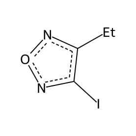 CCc1nonc1I